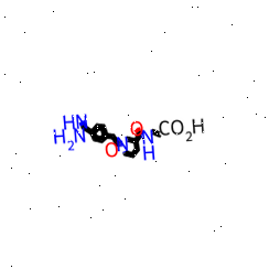 N=C(N)c1ccc(CC(=O)N2CCCC(C(=O)NCCC(=O)O)C2)cc1